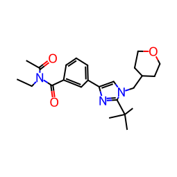 CCN(C(C)=O)C(=O)c1cccc(-c2cn(CC3CCOCC3)c(C(C)(C)C)n2)c1